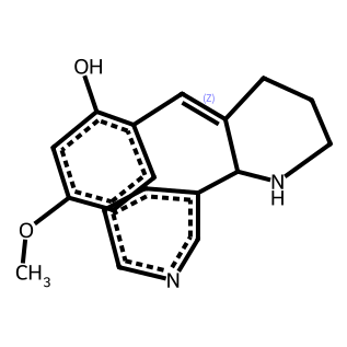 COc1ccc(/C=C2/CCCNC2c2cccnc2)c(O)c1